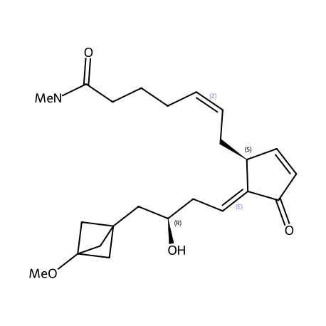 CNC(=O)CCC/C=C\C[C@H]1C=CC(=O)/C1=C/C[C@@H](O)CC12CC(OC)(C1)C2